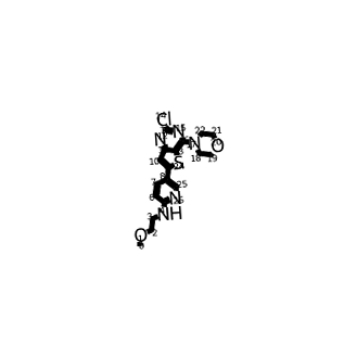 COCCNc1ccc(-c2cc3nc(Cl)nc(N4CCOCC4)c3s2)cn1